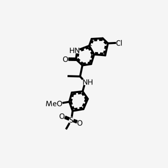 COc1cc(NC(C)c2cc3cc(Cl)ccc3[nH]c2=O)ccc1S(C)(=O)=O